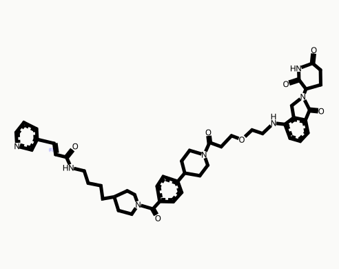 O=C(/C=C/c1cccnc1)NCCCCC1CCN(C(=O)c2ccc(C3CCN(C(=O)CCOCCNc4cccc5c4CN(C4CCC(=O)NC4=O)C5=O)CC3)cc2)CC1